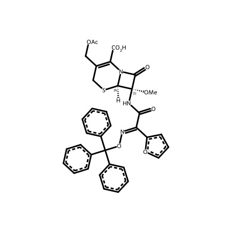 CO[C@@]1(NC(=O)C(=NOC(c2ccccc2)(c2ccccc2)c2ccccc2)c2ccco2)C(=O)N2C(C(=O)O)=C(COC(C)=O)CS[C@@H]21